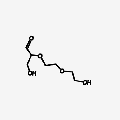 O=CC(CO)OCCOCCO